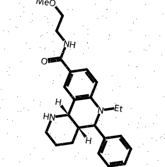 CCN1c2ccc(C(=O)NCCOC)cc2[C@H]2NCCC[C@H]2C1c1ccccc1